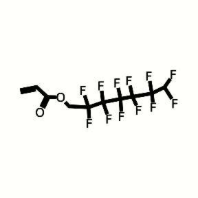 C=CC(=O)OCC(F)(F)C(F)(F)C(F)(F)C(F)(F)C(F)(F)C(F)F